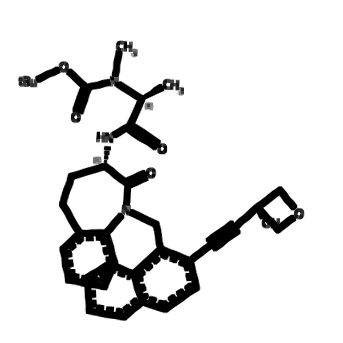 C[C@@H](C(=O)N[C@H]1CCc2ccccc2N(Cc2c(C#CC3(O)COC3)ccc3ccccc23)C1=O)N(C)C(=O)OC(C)(C)C